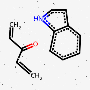 C=CC(=O)C=C.c1ccc2[nH]ccc2c1